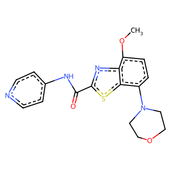 COc1ccc(N2CCOCC2)c2sc(C(=O)Nc3ccncc3)nc12